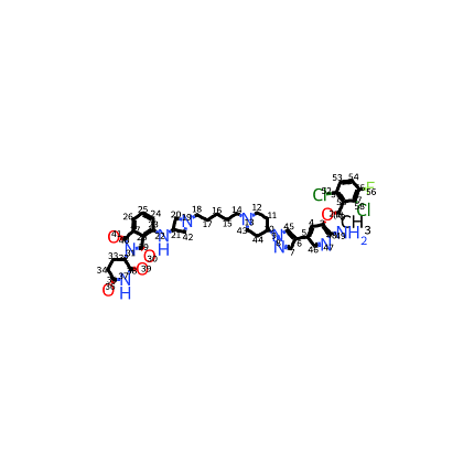 C[C@@H](Oc1cc(-c2cnn(C3CCN(CCCCCN4CC(Nc5cccc6c5C(=O)N(C5CCC(=O)NC5=O)C6=O)C4)CC3)c2)cnc1N)c1c(Cl)ccc(F)c1Cl